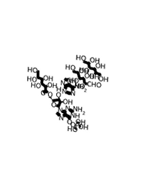 Nc1nc2c(ncn2[C@@H]2O[C@H](COC(=O)C(O)C(O)C(O)C(O)CO)[C@@H](O)[C@H]2O)c(=O)[nH]1.Nc1ncnc2nc[nH]c12.O=CC(O)C(O)C(O)C(O)CO.O=P(O)(O)O.OCC(O)C(O)C(O)C(O)CO